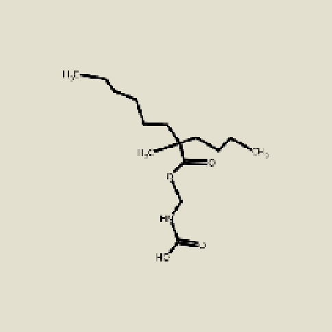 CCCCCCC(C)(CCCC)C(=O)OCNC(=O)O